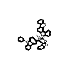 c1ccc(-n2c3ccccc3c3cc(-c4nc(-n5c6ccccc6c6c7sc8ccccc8c7ccc65)nc5oc6ccccc6c45)ccc32)cc1